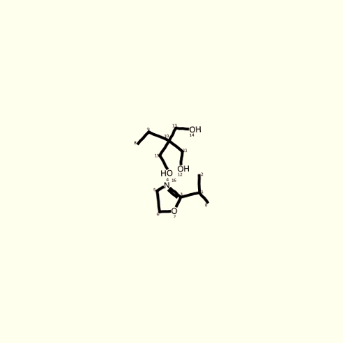 CC(C)C1=NCCO1.CCC(CO)(CO)CO